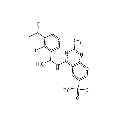 Cc1nc(NC(C)c2cccc(C(F)F)c2F)c2cc(P(C)(C)=O)cnc2n1